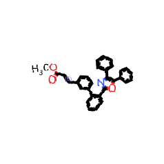 COC(=O)/C=C/c1cccc(-c2ccccc2-c2nc(-c3ccccc3)c(-c3ccccc3)o2)c1